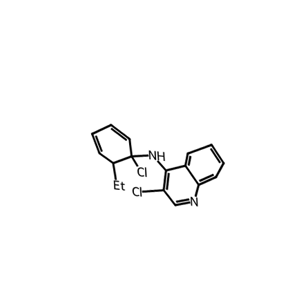 CCC1C=CC=CC1(Cl)Nc1c(Cl)cnc2ccccc12